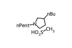 CCCCCN1CCC(CCCC)C1.CS(=O)(=O)O